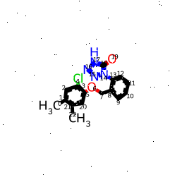 Cc1cc(Cl)c(OCc2ccccc2-n2nn[nH]c2=O)cc1C